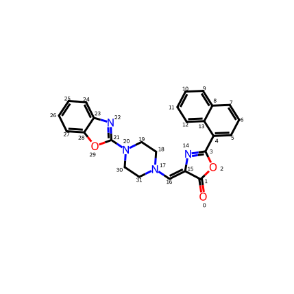 O=C1OC(c2cccc3ccccc23)=NC1=CN1CCN(c2nc3ccccc3o2)CC1